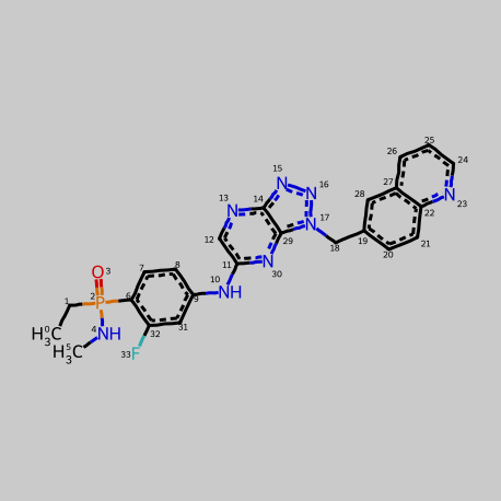 CCP(=O)(NC)c1ccc(Nc2cnc3nnn(Cc4ccc5ncccc5c4)c3n2)cc1F